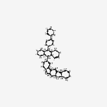 C1=Cc2c(c(-c3ccc(-c4ccccc4)cc3)c3ccccc3c2-c2ccc3oc4cc5oc6ccccc6c5cc4c3c2)CC1